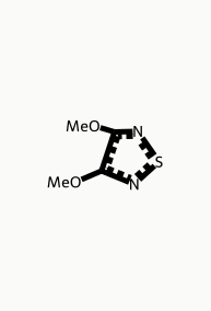 COc1nsnc1OC